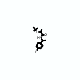 CC(OC(C)(C)C)C(=O)NC(C)c1ccc(F)cc1